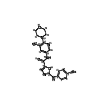 CC(C)(C)c1ccc(Nc2nnc(C(=O)Nc3cnc(N4CCOCC4)c(Cl)c3)o2)cc1